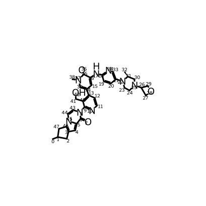 CC1Cc2cc3c(=O)n(-c4nccc(-c5cc(Nc6ccc(N7CCN(C8COC8)C[C@@H]7C)cn6)c(=O)n(C)c5)c4CO)ccn3c2C1